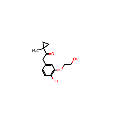 CC1(C(=O)Cc2ccc(O)c(OCCO)c2)CC1